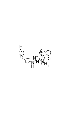 CN1CN(c2c(Cl)cccc2Cl)C(=O)c2cnc(Nc3ccc(CN4CCNCC4)cc3)nc21